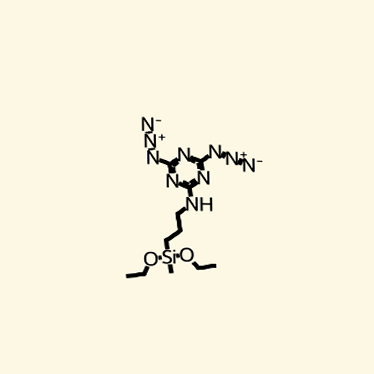 CCO[Si](C)(CCCNc1nc(N=[N+]=[N-])nc(N=[N+]=[N-])n1)OCC